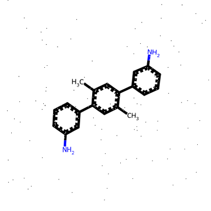 Cc1cc(-c2cccc(N)c2)c(C)cc1-c1cccc(N)c1